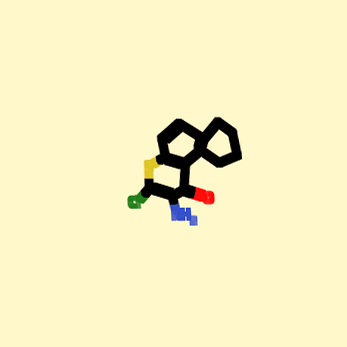 Nc1c(Cl)sc2ccc3c(c2c1=O)CCCC3